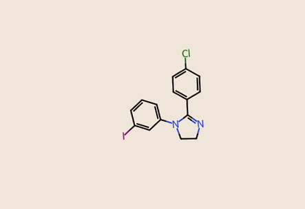 Clc1ccc(C2=NCCN2c2cccc(I)c2)cc1